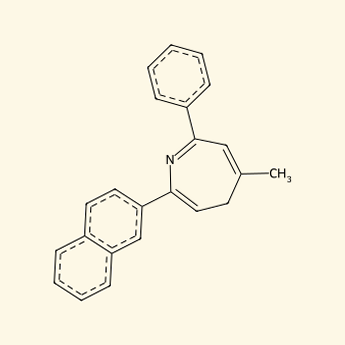 CC1=CC(c2ccccc2)=NC(c2ccc3ccccc3c2)=CC1